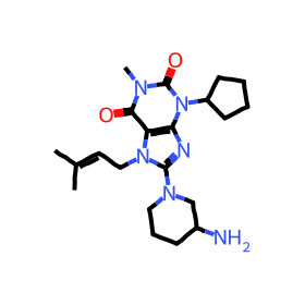 CC(C)=CCn1c(N2CCCC(N)C2)nc2c1c(=O)n(C)c(=O)n2C1CCCC1